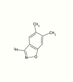 [2H]c1noc2cc(C)c(C)cc12